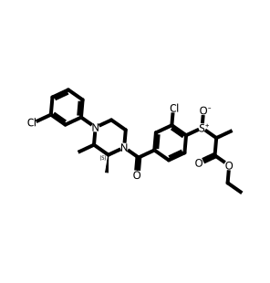 CCOC(=O)C(C)[S+]([O-])c1ccc(C(=O)N2CCN(c3cccc(Cl)c3)C(C)[C@@H]2C)cc1Cl